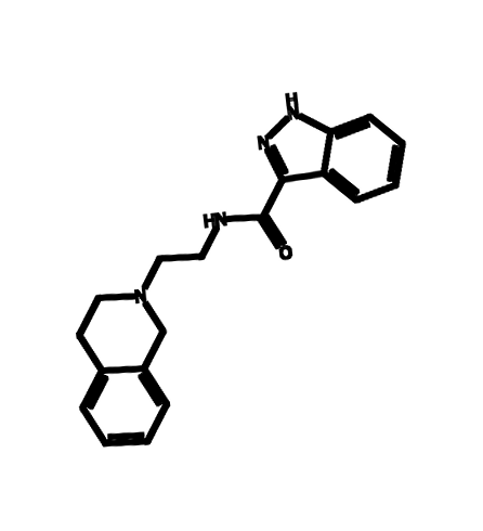 O=C(NCCN1CCc2ccccc2C1)c1n[nH]c2ccccc12